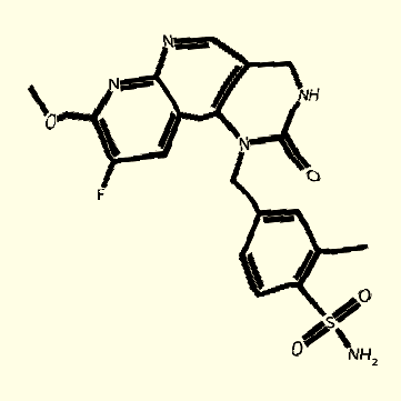 COc1nc2ncc3c(c2cc1F)N(Cc1ccc(S(N)(=O)=O)c(C)c1)C(=O)NC3